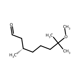 COC(C)(C)CCC[C@H](C)CC=O